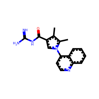 Cc1c(C(=O)NC(=N)N)cn(-c2ccnc3ccccc23)c1C